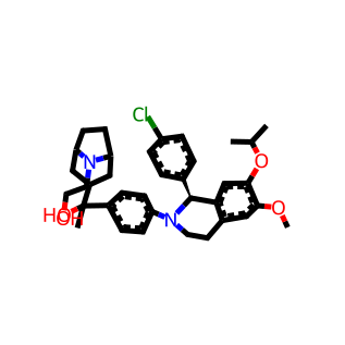 COc1cc2c(cc1OC(C)C)[C@H](c1ccc(Cl)cc1)N(c1ccc(C(C)(O)C3CC4CCC(C3)N4CCO)cc1)CC2